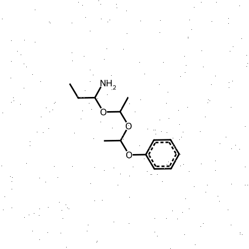 CCC(N)OC(C)OC(C)Oc1ccccc1